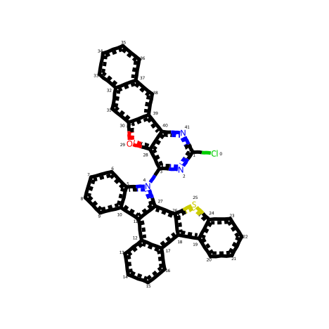 Clc1nc(-n2c3ccccc3c3c4ccccc4c4c5ccccc5sc4c32)c2oc3cc4ccccc4cc3c2n1